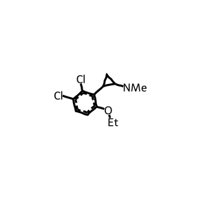 CCOc1ccc(Cl)c(Cl)c1C1CC1NC